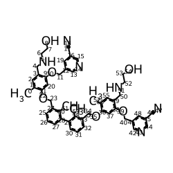 Cc1cc(CNCCO)c(OCc2cncc(C#N)c2)cc1OCc1cccc(-c2cccc(COc3cc(OCc4cncc(C#N)c4)c(CNCCO)cc3C)c2C)c1C